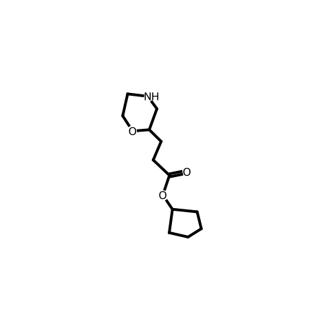 O=C(CCC1CNCCO1)OC1CCCC1